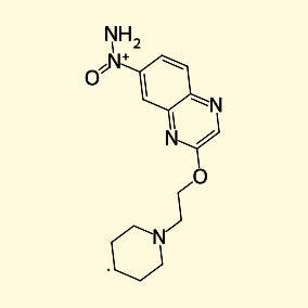 N[N+](=O)c1ccc2ncc(OCCN3CC[CH]CC3)nc2c1